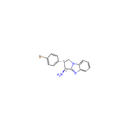 N[C@@H]1c2nc3ccccc3n2C[C@H]1c1ccc(Br)cc1